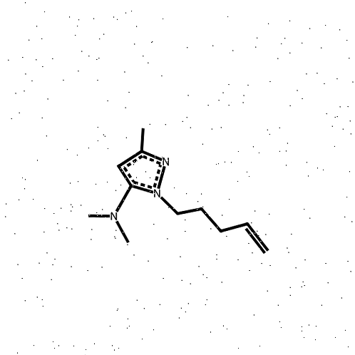 C=CCCCn1nc(C)cc1N(C)C